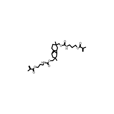 C=C(C)C(=O)OCCCNC(=O)OCC1(C)CC2CC(C1)C1CC(C)(COC(=O)NCCCOC(=O)C(=C)C)CCC21